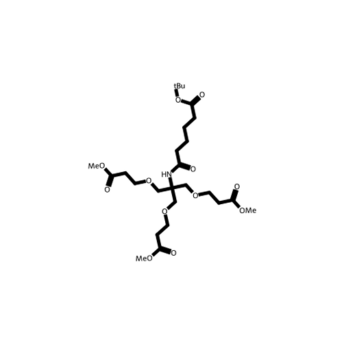 COC(=O)CCOCC(COCCC(=O)OC)(COCCC(=O)OC)NC(=O)CCCCC(=O)OC(C)(C)C